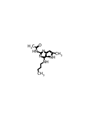 CCCCNc1nc(NC(C)=O)nc2cc(C)[nH]c12